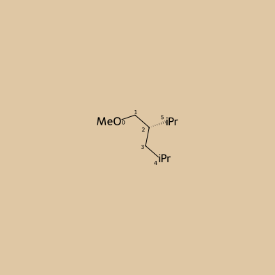 COC[C@@H](CC(C)C)C(C)C